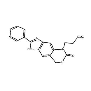 COCCN1C(=O)OCc2cc3[nH]c(-c4cccnc4)nc3cc21